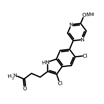 COc1cnc(-c2cc3[nH]c(CCC(N)=O)c(Cl)c3cc2Cl)cn1